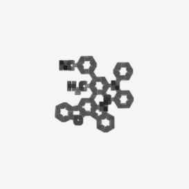 Cc1c(-c2cccc(C#N)c2)cc2c3c1-c1cc4c5ccccc5oc4c4c5ccccc5n(c14)B3c1ccccc1N2c1ccccc1